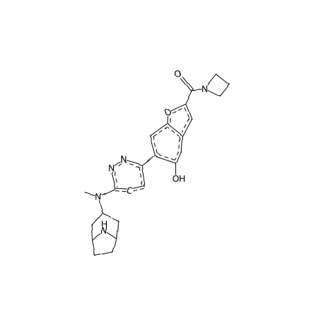 CN(c1ccc(-c2cc3oc(C(=O)N4CCC4)cc3cc2O)nn1)C1CC2CCC(C1)N2